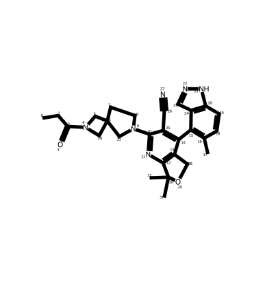 CCC(=O)N1CC2(CCN(c3nc4c(c(-c5c(C)ccc6[nH]ncc56)c3C#N)COC4(C)C)C2)C1